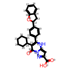 O=C(O)c1cc2[nH]c(-c3ccc(C4Cc5ccccc5O4)cc3)c(C3CCCCC3)c(=O)n2n1